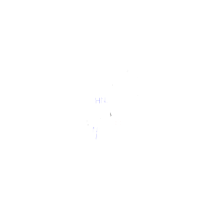 O=C(C1CC2(CCC2)N1)[C@@H]1Cc2ccccc2CN1